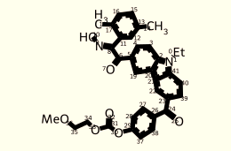 CCn1c2ccc(C(=O)/C(=N/O)c3cc(C)ccc3C)cc2c2cc(C(=O)c3ccc(OC(=O)OCCOC)cc3)ccc21